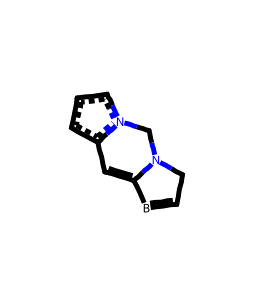 B1=CCN2Cn3cccc3C=C12